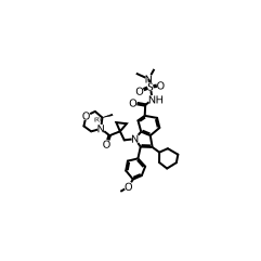 COc1ccc(-c2c(C3CCCCC3)c3ccc(C(=O)NS(=O)(=O)N(C)C)cc3n2CC2(C(=O)N3CCOC[C@H]3C)CC2)cc1